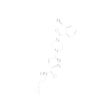 N#Cc1ccccc1C(=O)N1CCN(c2ccc(C(=O)NCCC3CC3)nn2)CC1